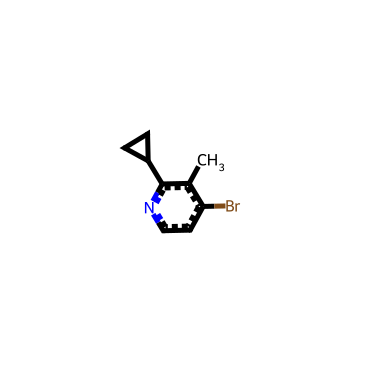 Cc1c(Br)ccnc1C1CC1